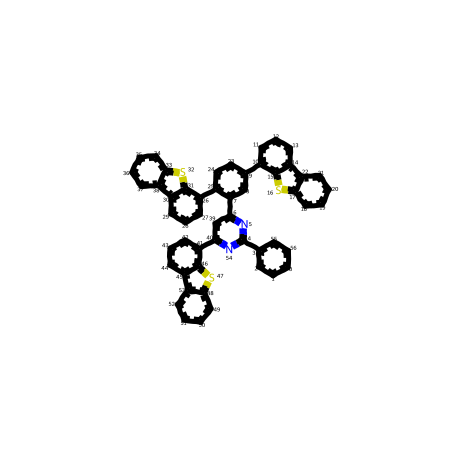 c1ccc(-c2nc(-c3cc(-c4cccc5c4sc4ccccc45)ccc3-c3cccc4c3sc3ccccc34)cc(-c3cccc4c3sc3ccccc34)n2)cc1